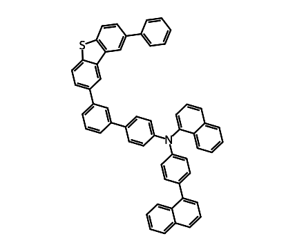 c1ccc(-c2ccc3sc4ccc(-c5cccc(-c6ccc(N(c7ccc(-c8cccc9ccccc89)cc7)c7cccc8ccccc78)cc6)c5)cc4c3c2)cc1